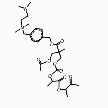 CC(=O)OCC(C)(COC(=O)OC(C)C(=O)OC(C)C(C)=O)C(=O)OCc1ccc(C[N+](C)(C)CCN(C)C)cc1